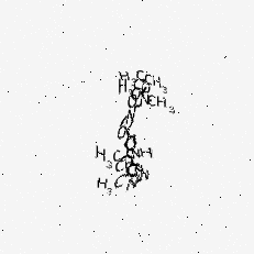 Cc1cc(-c2[nH]c3ccc(C4CN(C(=O)CN(C)C(=O)OC(C)(C)C)CCO4)cc3c2C(C)C)cn2ncnc12